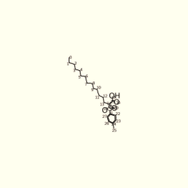 CCCCCCCCCCCCCCC(C(=O)O)S(=O)(=O)c1ccc(C)cc1